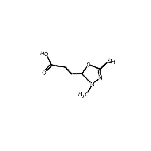 CN1N=C(S)OC1CCC(=O)O